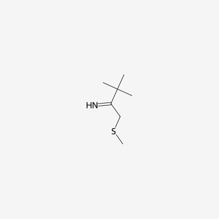 CSCC(=N)C(C)(C)C